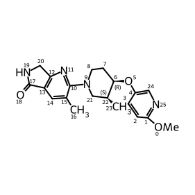 COc1ccc(O[C@@H]2CCN(c3nc4c(cc3C)C(=O)NC4)C[C@@H]2C)cn1